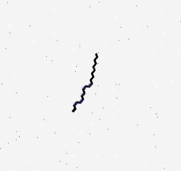 C=C\C=C/C=C\C=C\C=C/C=C\CCCCC[CH]CCC